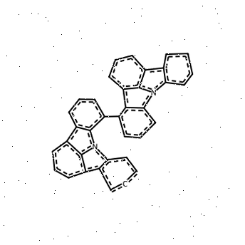 c1ccc2c(c1)c1cccc3c4c(-c5cccc6c7cccc8c9ccccc9n(c56)c87)cccc4n2c13